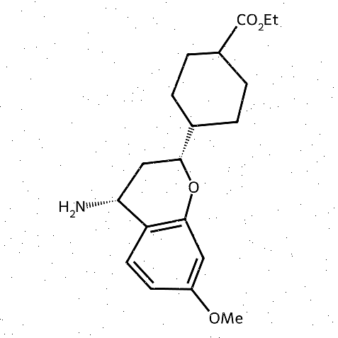 CCOC(=O)C1CCC([C@H]2C[C@@H](N)c3ccc(OC)cc3O2)CC1